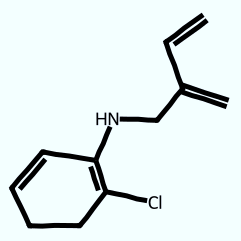 C=CC(=C)CNC1=C(Cl)CCC=C1